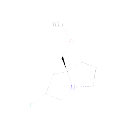 CC(C)(C)OC[C@@]12CCCN1CC(F)C2